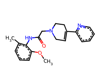 COc1cccc(C)c1NC(=O)CN1CC=C(c2ccccn2)CC1